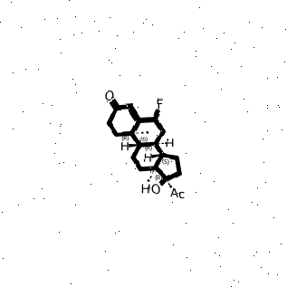 CC(=O)[C@@]1(O)CC[C@H]2[C@@H]3CC(F)C4=CC(=O)CC[C@]4(C)[C@H]3CC[C@@]21C